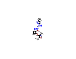 Cc1ccc(NCCNC(=O)c2ccccc2OCc2c(C)noc2C)nn1